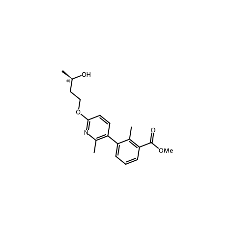 COC(=O)c1cccc(-c2ccc(OCC[C@@H](C)O)nc2C)c1C